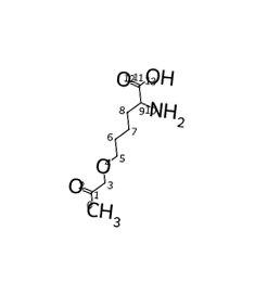 CC(=O)COCCCCC(N)C(=O)O